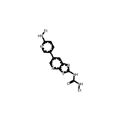 CCNC(=O)Nc1nc2cc(-c3ccc(NCC)nc3)cnc2s1